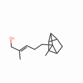 C/C(=C\CCC1(C)C2CC3C(C2)C31)CO